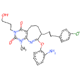 Cn1c2c(c(=O)n(CCCO)c1=O)CCC(CCc1ccc(Cl)cc1)C(Oc1ccccc1N)=N2